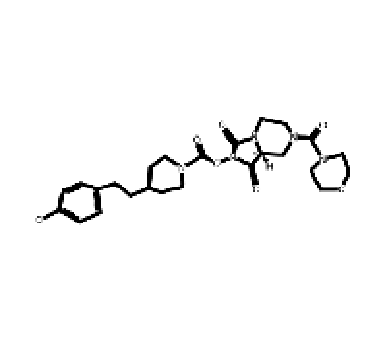 O=C(ON1C(=O)[C@H]2CN(C(=O)N3CCOCC3)CCN2C1=O)N1CCC(CCc2ccc(Cl)cc2)CC1